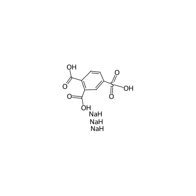 O=C(O)c1ccc(S(=O)(=O)O)cc1C(=O)O.[NaH].[NaH].[NaH]